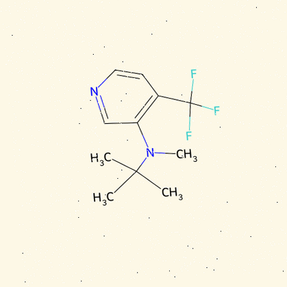 CN(c1cnccc1C(F)(F)F)C(C)(C)C